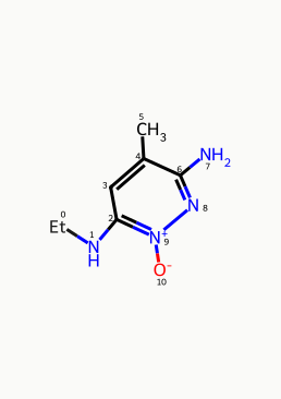 CCNc1cc(C)c(N)n[n+]1[O-]